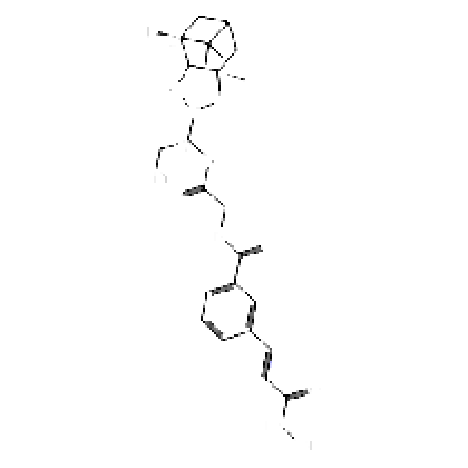 CC(C)C[C@H](NC(=O)CNC(=O)c1cccc(/C=C/C(=O)NO)c1)B1OC2[C@@H]3CC(C[C@]2(C)O1)C3(C)C